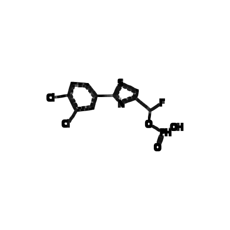 O=[PH](O)OC(F)c1csc(-c2ccc(Cl)c(Cl)c2)n1